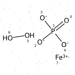 O=P([O-])([O-])[O-].OO.[Fe+3]